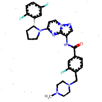 CN1CCN(Cc2ccc(C(=O)Nc3cnn4ccc(N5CCC[C@@H]5c5cc(F)ccc5F)nc34)cc2F)CC1